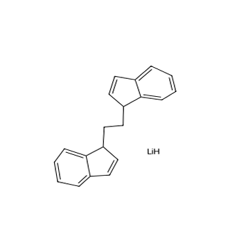 C1=CC(CCC2C=Cc3ccccc32)c2ccccc21.[LiH]